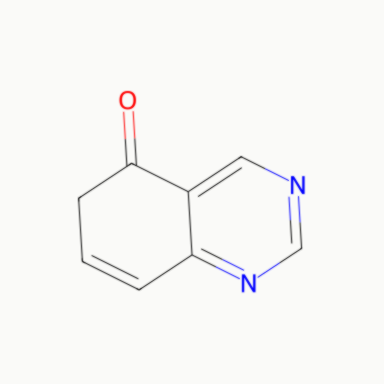 O=C1CC=Cc2ncncc21